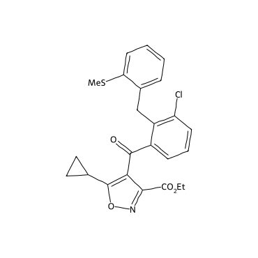 CCOC(=O)c1noc(C2CC2)c1C(=O)c1cccc(Cl)c1Cc1ccccc1SC